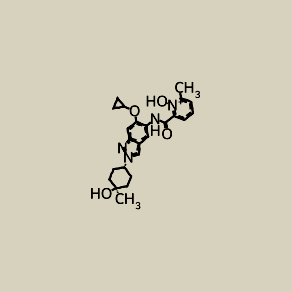 Cc1cccc(C(=O)Nc2cc3cn([C@H]4CC[C@](C)(O)CC4)nc3cc2OC2CC2)[n+]1O